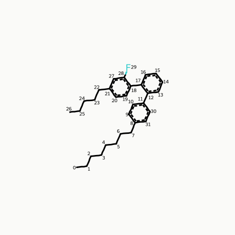 CCCCCCCCc1ccc(-c2ccccc2-c2ccc(CCCCC)cc2F)cc1